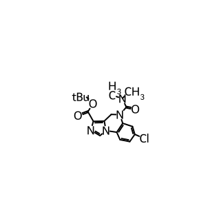 CN(C)C(=O)N1Cc2c(C(=O)OC(C)(C)C)ncn2-c2ccc(Cl)cc21